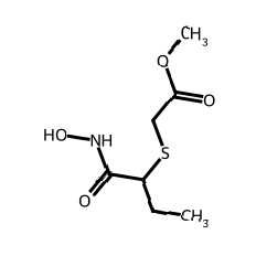 CCC(SCC(=O)OC)C(=O)NO